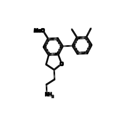 COc1cc2c(c(-c3cccc(C)c3C)c1)OC(CCN)C2